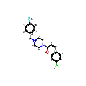 O=C(/C=C\c1ccc(Cl)cc1)N1CCN(Cc2ccc(F)cc2)CC1